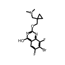 CN(C)CC1(COc2nc(O)c3cc(F)c(Br)c(F)c3n2)CC1